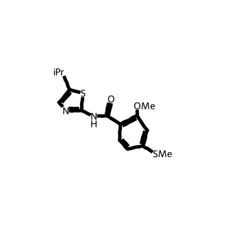 COc1cc(SC)ccc1C(=O)Nc1ncc(C(C)C)s1